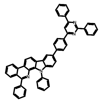 c1ccc(-c2cc(-c3ccc(-c4ccc5c(c4)c4ccc6c7ccccc7c(-c7ccccc7)nc6c4n5-c4ccccc4)cc3)nc(-c3ccccc3)n2)cc1